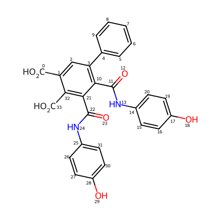 O=C(O)c1cc(-c2ccccc2)c(C(=O)Nc2ccc(O)cc2)c(C(=O)Nc2ccc(O)cc2)c1C(=O)O